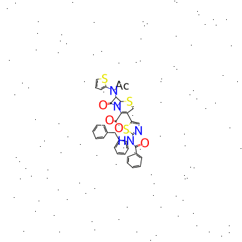 CC(=O)N(c1cccs1)C1C(=O)N2C(C(=O)OC(c3ccccc3)c3ccccc3)=C(c3cnc(NC(=O)c4ccccc4)s3)CSC12